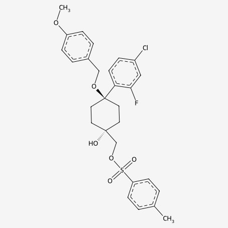 COc1ccc(CO[C@]2(c3ccc(Cl)cc3F)CC[C@](O)(COS(=O)(=O)c3ccc(C)cc3)CC2)cc1